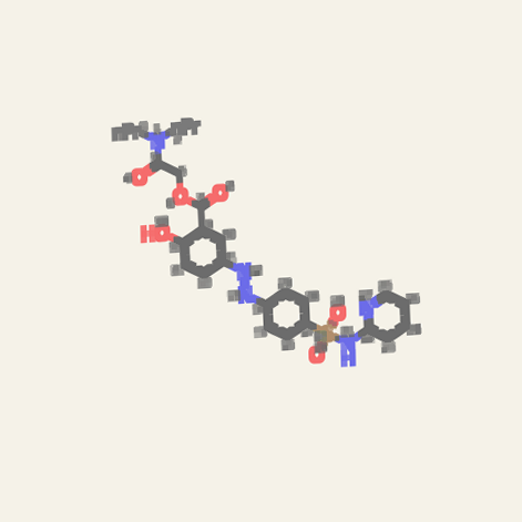 CCCN(CCC)C(=O)COC(=O)c1cc(N=Nc2ccc(S(=O)(=O)Nc3ccccn3)cc2)ccc1O